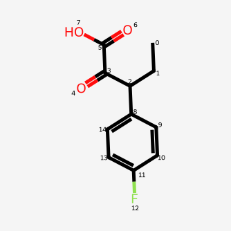 CCC(C(=O)C(=O)O)c1ccc(F)cc1